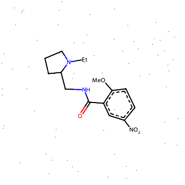 CCN1CCCC1CNC(=O)c1cc([N+](=O)[O-])ccc1OC